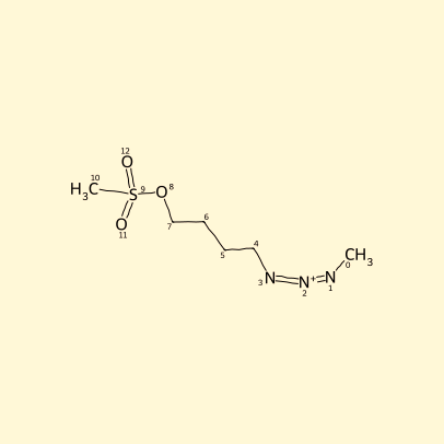 CN=[N+]=NCCCCOS(C)(=O)=O